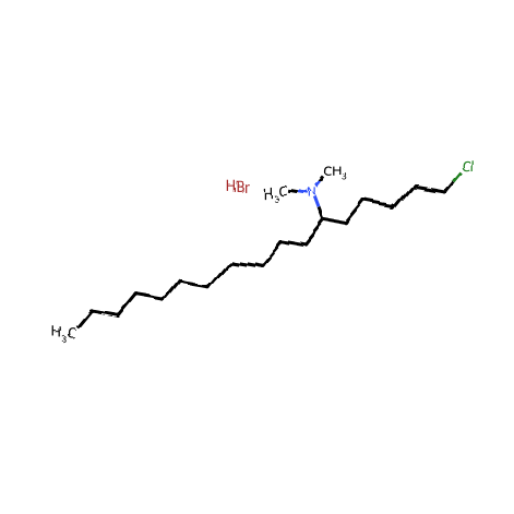 Br.CCCCCCCCCCCC(CCCCCCl)N(C)C